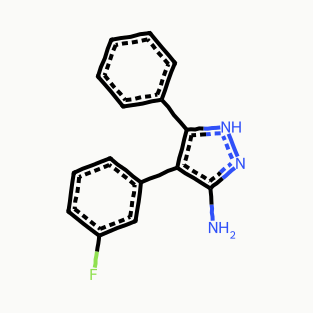 Nc1n[nH]c(-c2ccccc2)c1-c1cccc(F)c1